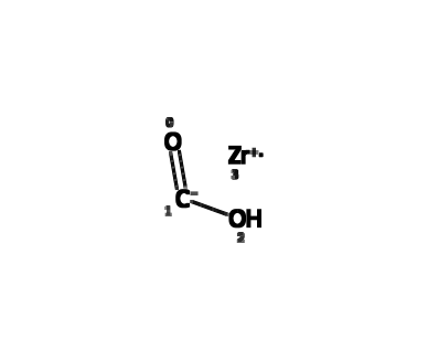 O=[C-]O.[Zr+]